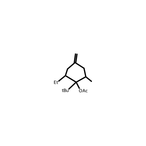 C=C1CC(C)C(OC(C)=O)(C(C)(C)C)C(CC)C1